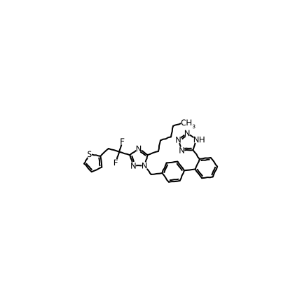 CCCCCc1nc(C(F)(F)Cc2cccs2)nn1Cc1ccc(-c2ccccc2-c2nnn[nH]2)cc1